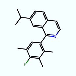 Cc1cc(-c2nccc3ccc(C(C)C)cc23)c(C)c(C)c1F